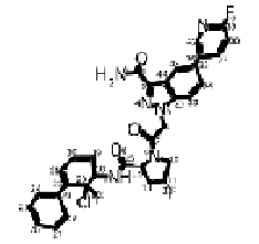 NC(=O)c1nn(CC(=O)N2C[C@H](F)C[C@H]2C(=O)NC2C=CC=C(c3ccccc3)C2(F)Cl)c2ccc(-c3ccc(F)nc3)cc12